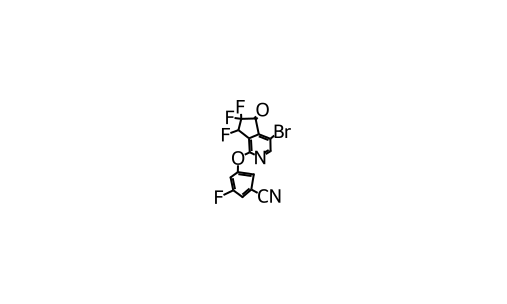 N#Cc1cc(F)cc(Oc2ncc(Br)c3c2C(F)C(F)(F)C3=O)c1